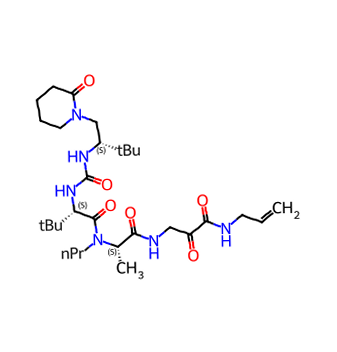 C=CCNC(=O)C(=O)CNC(=O)[C@H](C)N(CCC)C(=O)[C@@H](NC(=O)N[C@H](CN1CCCCC1=O)C(C)(C)C)C(C)(C)C